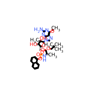 COc1nc(N)nc2c1ncn2C1O[C@H](COP(=O)(N[C@@H](C)C(=O)OCC(C)(C)C)Oc2cccc3ccccc23)[C@@H](O)[C@@]1(C)O